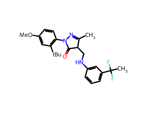 COc1ccc(N2N=C(C)C(CNc3cccc(C(C)(F)F)c3)C2=O)c(C(C)(C)C)c1